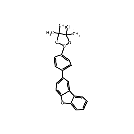 CC1(C)OB(c2ccc(-c3ccc4oc5ccccc5c4c3)cc2)OC1(C)C